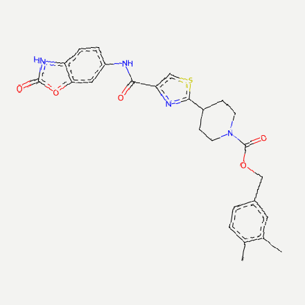 Cc1ccc(COC(=O)N2CCC(c3nc(C(=O)Nc4ccc5[nH]c(=O)oc5c4)cs3)CC2)cc1C